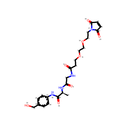 C[C@H](NC(=O)CNC(=O)CCOCCOCCN1C(=O)C=CC1=O)C(=O)Nc1ccc(CO)cc1